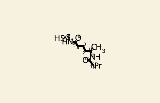 CC(CCCC(=O)NSS)NC(=O)C(C)C